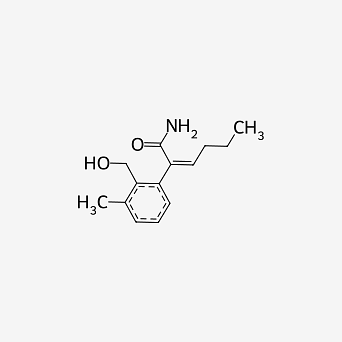 CCC/C=C(\C(N)=O)c1cccc(C)c1CO